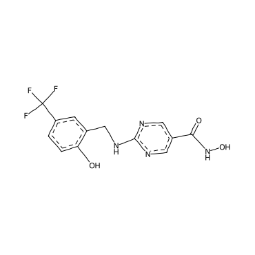 O=C(NO)c1cnc(NCc2cc(C(F)(F)F)ccc2O)nc1